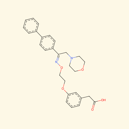 O=C(O)Cc1cccc(OCCO/N=C(\CN2CCOCC2)c2ccc(-c3ccccc3)cc2)c1